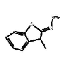 CN/N=C1\Sc2ccccc2C1C